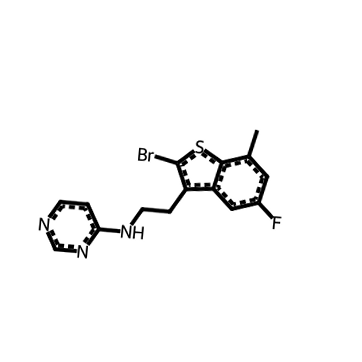 Cc1cc(F)cc2c(CCNc3ccncn3)c(Br)sc12